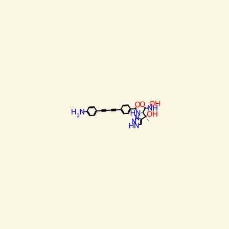 C[C@](O)(c1c[nH]nn1)[C@H](NC(=O)c1ccc(C#CC#Cc2ccc(N)cc2)cc1)C(=O)NO